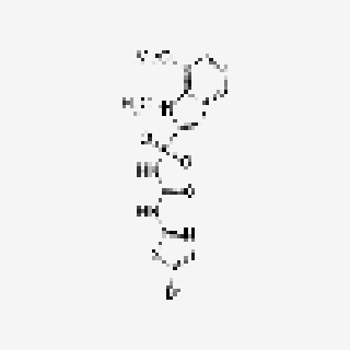 COc1cccc2cc(S(=O)(=O)NC(=O)Nc3ncc(Br)s3)n(C)c12